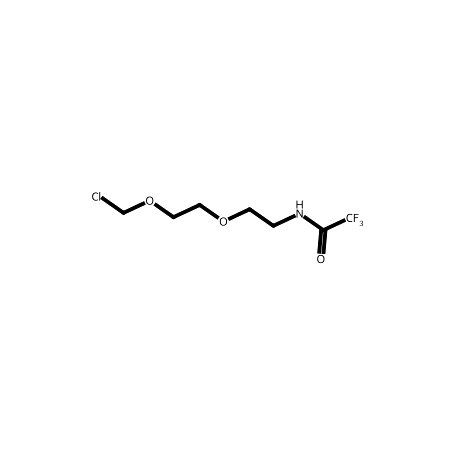 O=C(NCCOCCOCCl)C(F)(F)F